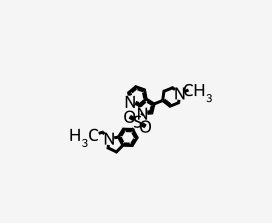 CCN1CCc2ccc(S(=O)(=O)n3cc(C4=CCN(C)CC4)c4cccnc43)cc21